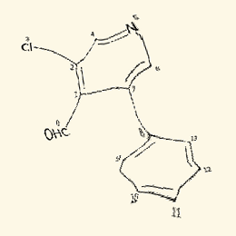 O=Cc1c(Cl)cncc1-c1ccccc1